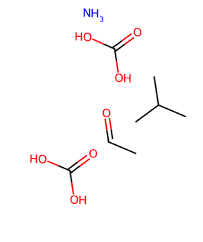 CC(C)C.CC=O.N.O=C(O)O.O=C(O)O